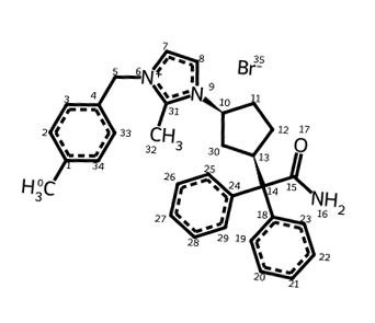 Cc1ccc(C[n+]2ccn([C@H]3CC[C@@H](C(C(N)=O)(c4ccccc4)c4ccccc4)C3)c2C)cc1.[Br-]